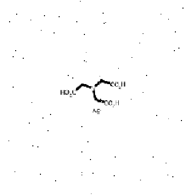 O=C(O)CN(CC(=O)O)CC(=O)O.[Ag]